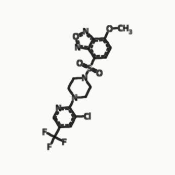 COc1ccc(S(=O)(=O)N2CCN(c3ncc(C(F)(F)F)cc3Cl)CC2)c2nonc12